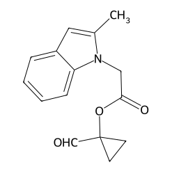 Cc1cc2ccccc2n1CC(=O)OC1(C=O)CC1